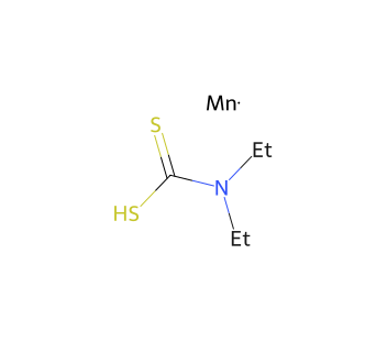 CCN(CC)C(=S)S.[Mn]